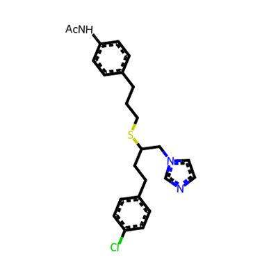 CC(=O)Nc1ccc(CCCSC(CCc2ccc(Cl)cc2)Cn2ccnc2)cc1